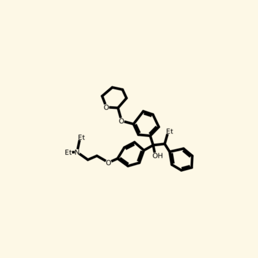 CCC(c1ccccc1)C(O)(c1ccc(OCCN(CC)CC)cc1)c1cccc(OC2CCCCO2)c1